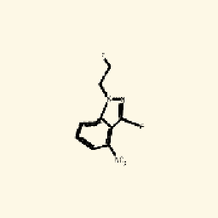 O=[N+]([O-])c1cccc2c1c(F)nn2CCF